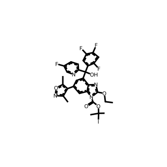 CCOc1nc2c(C(O)(c3ccc(F)cn3)c3cc(F)c(F)cc3F)cc(-c3c(C)noc3C)cc2n1C(=O)OC(C)(C)I